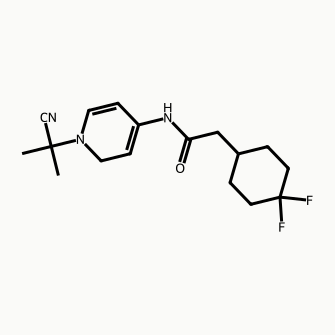 CC(C)(C#N)N1C=CC(NC(=O)CC2CCC(F)(F)CC2)=CC1